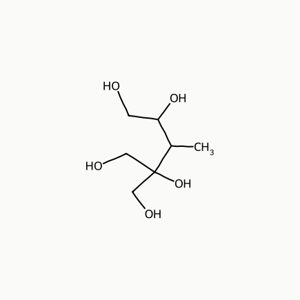 CC(C(O)CO)C(O)(CO)CO